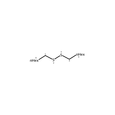 CCCCCCCSSCCCCCCC